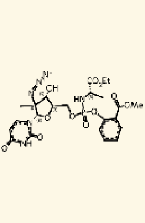 CCOC(=O)[C@H](C)NP(=O)(OC[C@H]1O[C@H](n2ccc(=O)[nH]c2=O)[C@](C)(N=[N+]=[N-])[C@@H]1O)Oc1ccccc1C(=O)OC